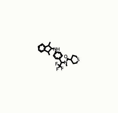 CC1c2ccccc2C(C)C1Nc1ccc(C(N(C)C(=O)C2CCSCC2)C(F)(F)F)cc1